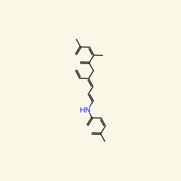 C=C/C(=C\C=C\NC(=C)/C=C\C(=C)C)CC(=C)/C(C)=C\C(=C)C